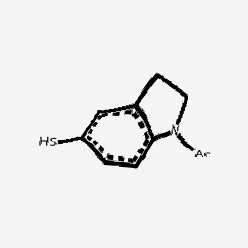 CC(=O)N1CCc2cc(S)ccc21